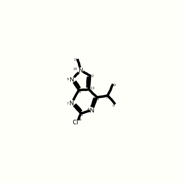 CC(C)c1nc(Cl)nc2nn(C)cc12